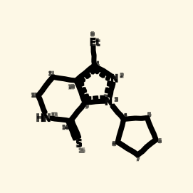 CCc1nn(C2CCCC2)c2c1CCNC2=S